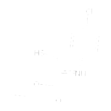 CCOC(=O)c1[nH]c2ccc(Cl)cc2c1S